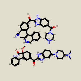 COC1(C(N)=O)CC=C(C(=O)c2nc3cc(N4CCC(N(C)C)CC4)ccc3[nH]2)C=C1c1ccccc1.Cc1ncc2ccccc2c1-c1cc(C(=O)c2nc3cc(C(=O)N4CCNCC4)ccc3[nH]2)ccc1C#N